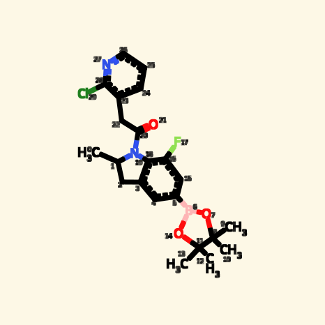 CC1Cc2cc(B3OC(C)(C)C(C)(C)O3)cc(F)c2N1C(=O)Cc1cccnc1Cl